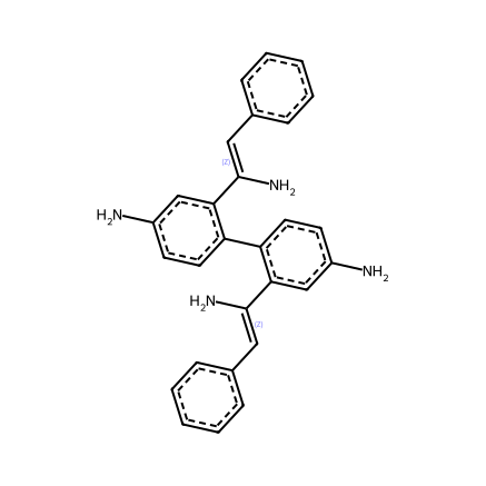 N/C(=C\c1ccccc1)c1cc(N)ccc1-c1ccc(N)cc1/C(N)=C/c1ccccc1